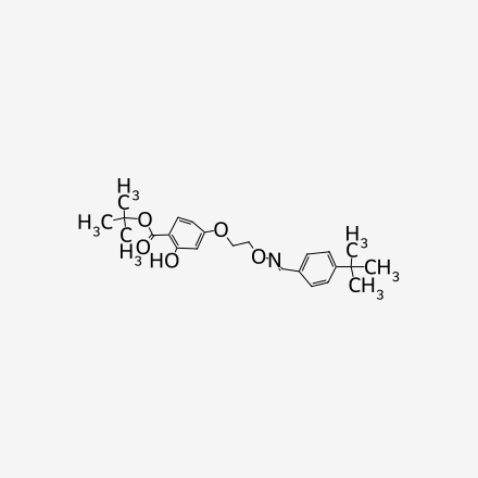 CC(C)(C)OC(=O)c1ccc(OCCO/N=C/c2ccc(C(C)(C)C)cc2)cc1O